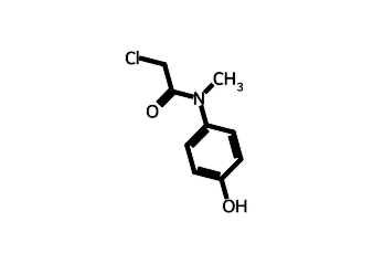 CN(C(=O)CCl)c1ccc(O)cc1